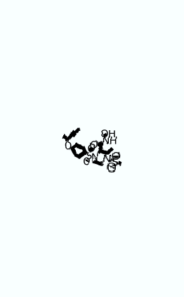 CC#CC(C)Oc1ccc(S(=O)(=O)N2CCN(S(C)(=O)=O)C(C)C2C(=O)NO)cc1